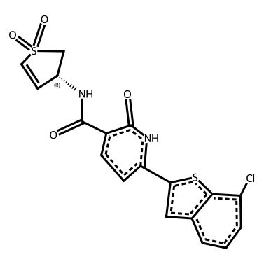 O=C(N[C@@H]1C=CS(=O)(=O)C1)c1ccc(-c2cc3cccc(Cl)c3s2)[nH]c1=O